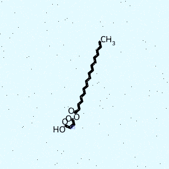 CCCCCCCCCCCCCCCCCCCC(=O)OC(=O)/C=C\C(=O)O